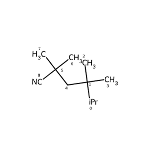 CC(C)C(C)(C)CC(C)(C)C#N